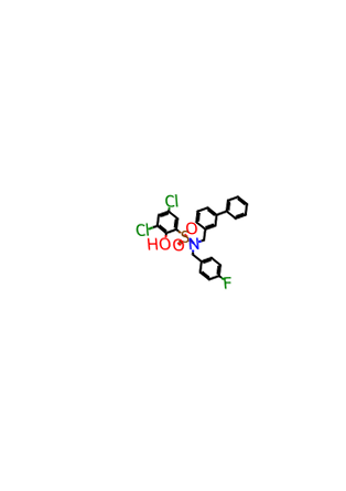 O=S(=O)(c1cc(Cl)cc(Cl)c1O)N(Cc1ccc(F)cc1)Cc1cccc(-c2ccccc2)c1